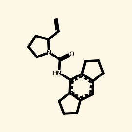 C=CC1CCCN1C(=O)Nc1c2c(cc3c1CCC3)CCC2